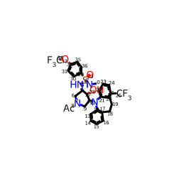 CN=S(=O)(NC1CN(C(C)=O)CC(N2c3ccccc3CCc3c2cccc3C(F)(F)F)C1O)c1ccc(OC(F)(F)F)cc1